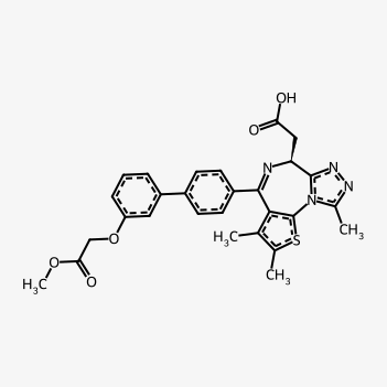 COC(=O)COc1cccc(-c2ccc(C3=N[C@@H](CC(=O)O)c4nnc(C)n4-c4sc(C)c(C)c43)cc2)c1